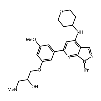 CNCC(O)COc1cc(OC)cc(-c2cc(NC3CCOCC3)c3cnn(C(C)C)c3n2)c1